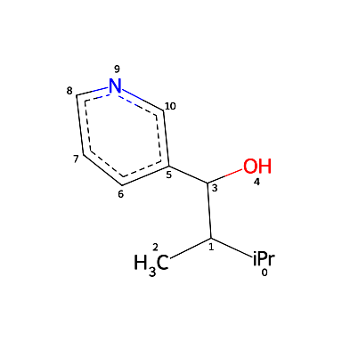 CC(C)C(C)C(O)c1cccnc1